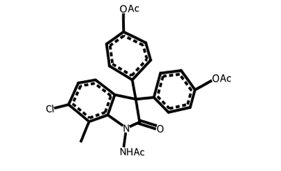 CC(=O)NN1C(=O)C(c2ccc(OC(C)=O)cc2)(c2ccc(OC(C)=O)cc2)c2ccc(Cl)c(C)c21